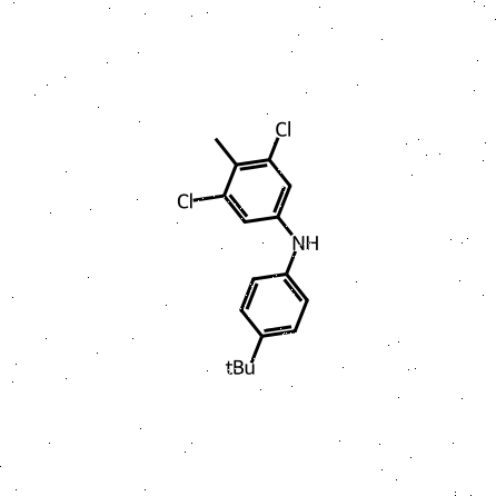 Cc1c(Cl)cc(Nc2ccc(C(C)(C)C)cc2)cc1Cl